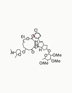 CC[C@H]1CCC[C@H](O[C@H]2CC[C@H](N(C)C)C(C)O2)[C@@H](C)C(=O)C2=C[C@@H]3C(C(c4ccc(Cl)cc4)=CC4C[C@@H](OC5OC(C)C(OC)C(OC)C5OC)C[C@H]43)[C@@H]2CC(=O)O1